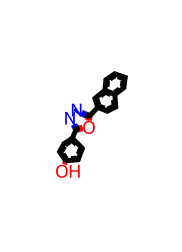 Oc1ccc(-c2nnc(-c3ccc4ccccc4c3)o2)cc1